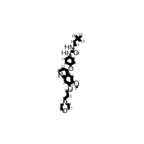 COc1cc2c(Oc3ccc(NC(=O)NCCC(C)(C)C)cc3)ccnc2cc1OCCCN1CCOCC1